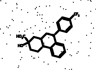 O=C(O)C1(O)CCN2c3ccccc3N(c3ccc(C(F)(F)F)cc3)CC2C1